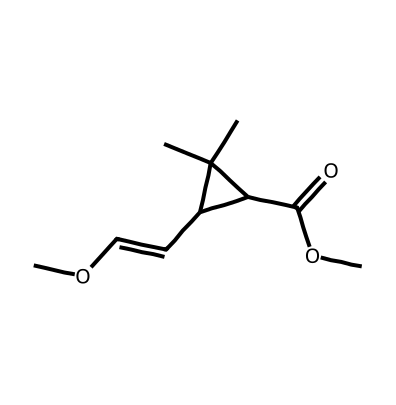 COC=CC1C(C(=O)OC)C1(C)C